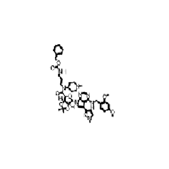 COc1ccc(CNc2ncnc3c2c(-c2ccn(C)n2)cn3[C@@H]2O[C@H](C(=O)N(CCCNC(=O)OCc3ccccc3)C3CCN(C)CC3)[C@H]3OC(C)(C)O[C@H]32)c(OC)c1